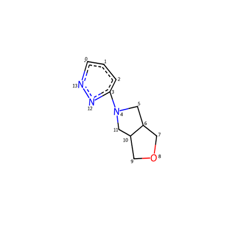 [c]1ccc(N2CC3COCC3C2)nn1